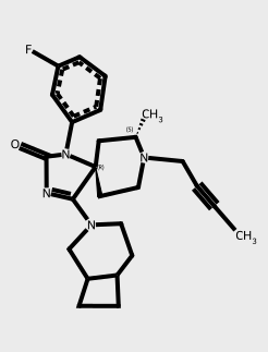 CC#CCN1CC[C@@]2(C[C@@H]1C)C(N1CCC3CCC3C1)=NC(=O)N2c1cccc(F)c1